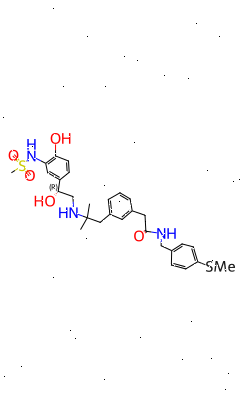 CSc1ccc(CNC(=O)Cc2cccc(CC(C)(C)NC[C@H](O)c3ccc(O)c(NS(C)(=O)=O)c3)c2)cc1